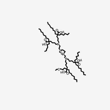 CCCCCCCCC(CCCCCC)(CCCCN(CCCCC(CCCCCC)(CCCCCCCC)C(=O)O)CCN1CCN(CCN(CCCCC(CCCCCC)(CCCCCCCC)C(=O)O)CCCCC(CCCCCC)(CCCCCCCC)C(=O)O)CC1)C(=O)O